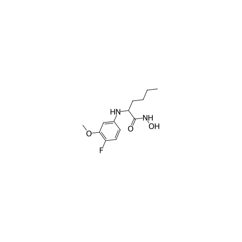 CCCCC(Nc1ccc(F)c(OC)c1)C(=O)NO